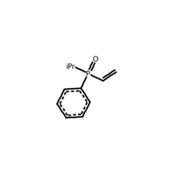 C=CP(=O)(c1ccccc1)C(C)C